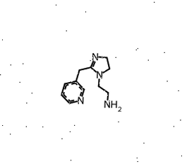 NCCN1CCN=C1Cc1cccnc1